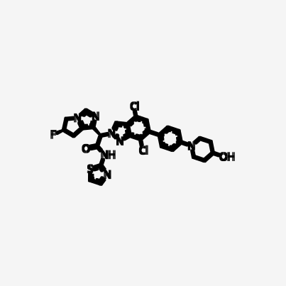 O=C(Nc1nccs1)[C@@H](c1ncn2c1C[C@@H](F)C2)n1cc2c(Cl)cc(-c3ccc(N4CCC(O)CC4)cc3)c(Cl)c2n1